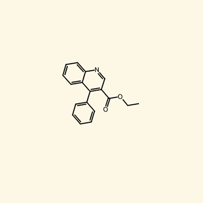 CCOC(=O)c1cnc2ccccc2c1-c1ccccc1